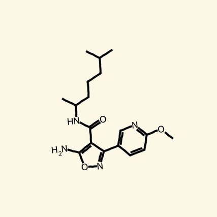 COc1ccc(-c2noc(N)c2C(=O)NC(C)CCCC(C)C)cn1